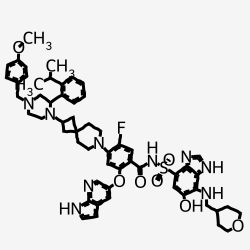 COc1ccc(CN2CCN(C3CC4(CCN(c5cc(Oc6cnc7[nH]ccc7c6)c(C(=O)NS(=O)(=O)c6cc(O)c(NCC7CCOCC7)c7[nH]cnc67)cc5F)CC4)C3)C(c3ccccc3C(C)C)C2)cc1